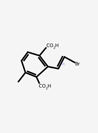 Cc1ccc(C(=O)O)c(/C=C/Br)c1C(=O)O